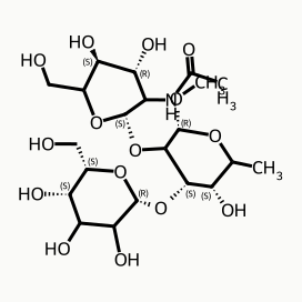 CO[C@@H]1OC(C)[C@H](O)[C@H](O[C@H]2O[C@@H](CO)[C@@H](O)C(O)C2O)C1O[C@@H]1OC(CO)[C@@H](O)[C@H](O)C1NC(C)=O